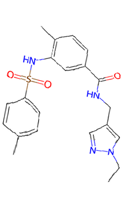 CCn1cc(CNC(=O)c2ccc(C)c(NS(=O)(=O)c3ccc(C)cc3)c2)cn1